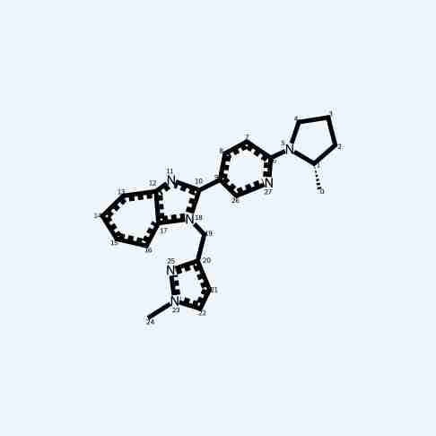 C[C@H]1CCCN1c1ccc(-c2nc3ccccc3n2Cc2ccn(C)n2)cn1